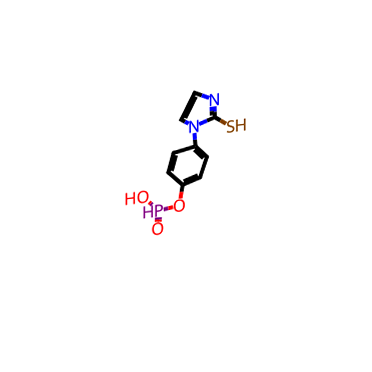 O=[PH](O)Oc1ccc(-n2ccnc2S)cc1